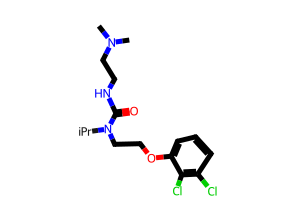 CC(C)N(CCOc1cccc(Cl)c1Cl)C(=O)NCCN(C)C